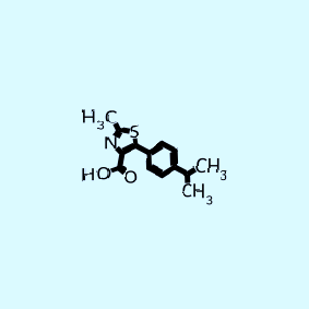 Cc1nc(C(=O)O)c(-c2ccc(C(C)C)cc2)s1